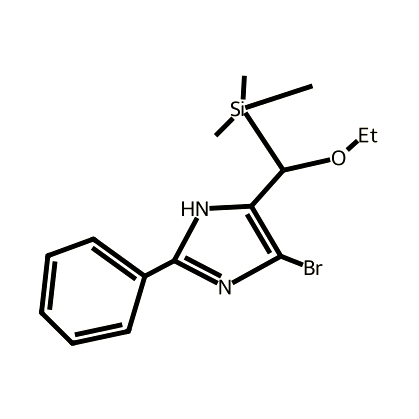 CCOC(c1[nH]c(-c2ccccc2)nc1Br)[Si](C)(C)C